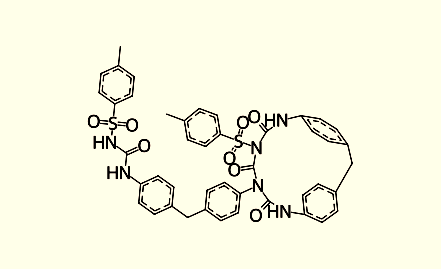 Cc1ccc(S(=O)(=O)NC(=O)Nc2ccc(Cc3ccc(N4C(=O)Nc5ccc(cc5)Cc5ccc(cc5)NC(=O)N(S(=O)(=O)c5ccc(C)cc5)C4=O)cc3)cc2)cc1